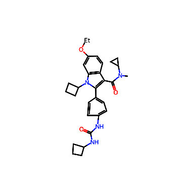 CCOc1ccc2c(C(=O)N(C)C3CC3)c(-c3ccc(NC(=O)NC4CCC4)cc3)n(C3CCC3)c2c1